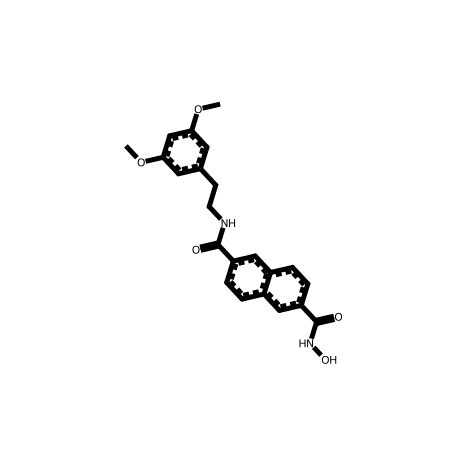 COc1cc(CCNC(=O)c2ccc3cc(C(=O)NO)ccc3c2)cc(OC)c1